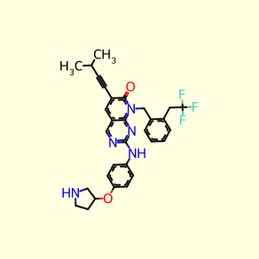 CC(C)C#Cc1cc2cnc(Nc3ccc(OC4CCNC4)cc3)nc2n(Cc2ccccc2CC(F)(F)F)c1=O